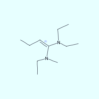 CC/C=C(\N(C)CC)N(CC)CC